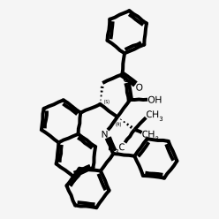 CC(C)(C)[C@@](N=C(c1ccccc1)c1ccccc1)(C(=O)O)[C@@H](CC(=O)c1ccccc1)c1cccc2ccccc12